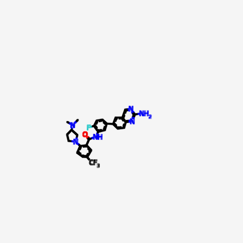 CN(C)[C@@H]1CCN(c2ccc(C(F)(F)F)cc2C(=O)Nc2cc(-c3ccc4nc(N)ncc4c3)ccc2F)C1